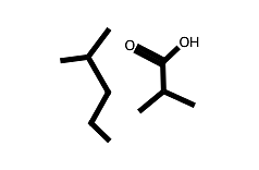 CC(C)C(=O)O.CCCC(C)C